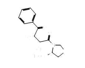 C[C@@H](C(=O)N1CSC[C@H]1C(=O)O)[C@H](Br)C(=O)c1ccccc1